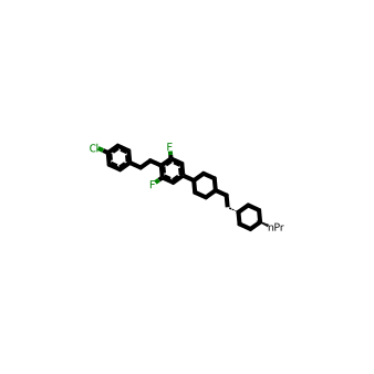 CCC[C@H]1CC[C@H](CCC2CCC(c3cc(F)c(CCc4ccc(Cl)cc4)c(F)c3)CC2)CC1